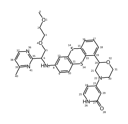 COCCOCC(Nc1ccc2c(c1)Sc1cccc(C3CN(c4cc[nH]c(=O)c4)CCO3)c1S2)c1nccc(C)n1